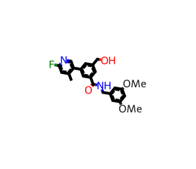 COc1cc(CNC(=O)c2cc(CO)cc(-c3cnc(F)cc3C)c2)cc(OC)c1